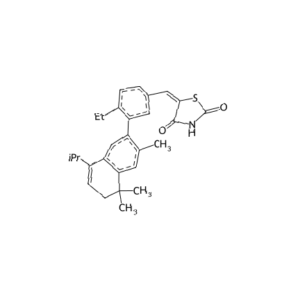 CCc1ccc(C=C2SC(=O)NC2=O)cc1-c1cc2c(cc1C)C(C)(C)CC=C2C(C)C